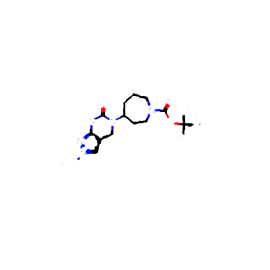 Cn1cc2c(n1)NC(=O)N(C1CCCN(C(=O)OC(C)(C)C)CC1)C2